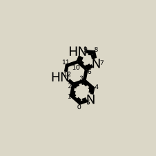 c1cc2c(cn1)-c1nc[nH]c1CN2